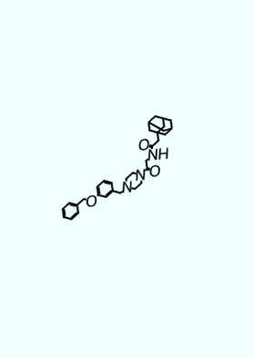 O=C(CC12CC3CC(CC(C3)C1)C2)NCC(=O)N1CCN(Cc2cccc(OCc3ccccc3)c2)CC1